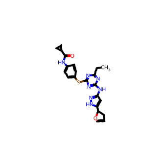 CCc1nc(Nc2cc(C3CC=CO3)[nH]n2)nc(Sc2ccc(NC(=O)C3CC3)cc2)n1